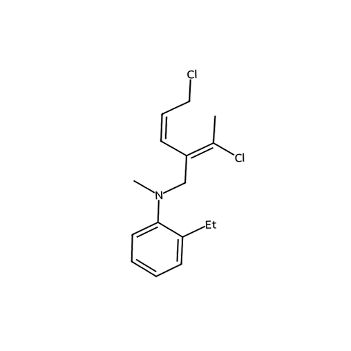 CCc1ccccc1N(C)CC(/C=C\CCl)=C(/C)Cl